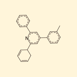 Cc1cccc(-c2cc(-c3ccccc3)nc(C3C=CC=CC3)c2)c1